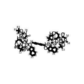 C[C@@H](C(=O)N[C@H]1CCO[C@H]2CC(C)(C)[C@@H](C(=O)N[C@H]3c4ccccc4C[C@H]3OCC#CC#CCO[C@@H]3Cc4ccccc4[C@@H]3NC(=O)[C@H]3N4C(=O)[C@@H](NC(=O)[C@H](C)N(C)C(=O)OC(C)(C)C)CCO[C@H]4CC3(C)C)N2C1=O)N(C)C(=O)OC(C)(C)C